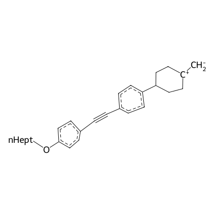 [CH2-][C+]1CCC(c2ccc(C#Cc3ccc(OCCCCCCC)cc3)cc2)CC1